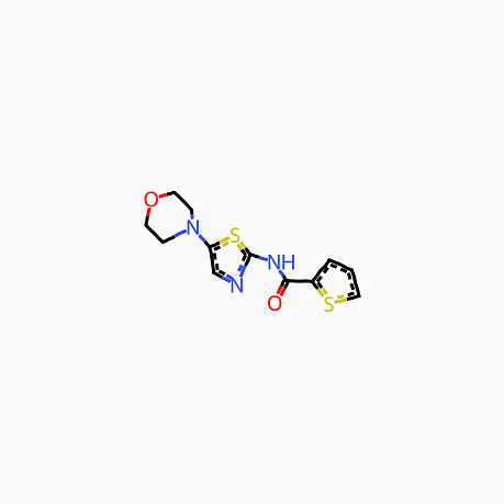 O=C(Nc1ncc(N2CCOCC2)s1)c1cccs1